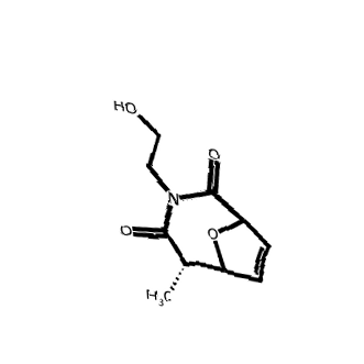 C[C@@H]1C(=O)N(CCO)C(=O)C2C=CC1O2